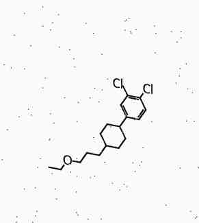 CCOCCCC1CCC(c2ccc(Cl)c(Cl)c2)CC1